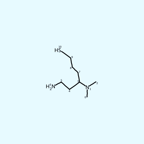 CN(C)C(CCN)CCCS